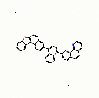 c1cnc2c(c1)ccc1ccc(-c3ccc(-c4ccc5c(ccc6oc7ccccc7c65)c4)c4ccccc34)nc12